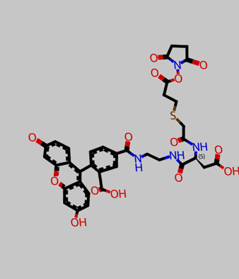 O=C(O)C[C@H](NC(=O)CSCCC(=O)ON1C(=O)CCC1=O)C(=O)NCCNC(=O)c1ccc(-c2c3ccc(=O)cc-3oc3cc(O)ccc23)c(C(=O)O)c1